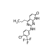 CCCc1nc(Nc2ccc(Cl)c(C(F)(F)F)c2)nc2[nH]c(=O)ccc12